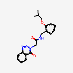 CC(C)COc1ccccc1CNC(=O)Cn1nnc2ccccc2c1=O